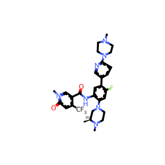 C[C@H]1CN(c2cc(F)c(-c3ccc(N4CCN(C)CC4)nc3)cc2NC(=O)c2cn(C)c(=O)cc2C(F)(F)F)CCN1C